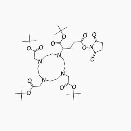 CC(C)(C)OC(=O)CN1CCN(CC(=O)OC(C)(C)C)CCN(C(CCC(=O)ON2C(=O)CCC2=O)C(=O)OC(C)(C)C)CCN(CC(=O)OC(C)(C)C)CC1